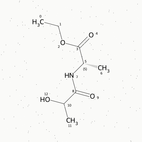 CCOC(=O)[C@H](C)NC(=O)C(C)O